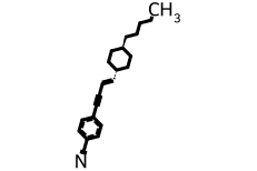 CCCCC[C@H]1CC[C@H](C=CC#Cc2ccc(C#N)cc2)CC1